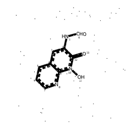 O=CNc1cc2cccnc2n(O)c1=O